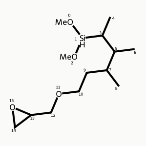 CO[SiH](OC)C(C)C(C)C(C)CCOCC1CO1